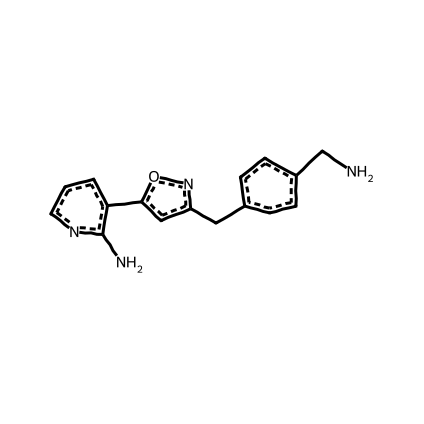 NCc1ccc(Cc2cc(-c3cccnc3N)on2)cc1